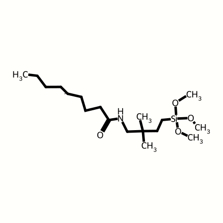 CCCC[CH]CCCC(=O)NCC(C)(C)CC[Si](OC)(OC)OC